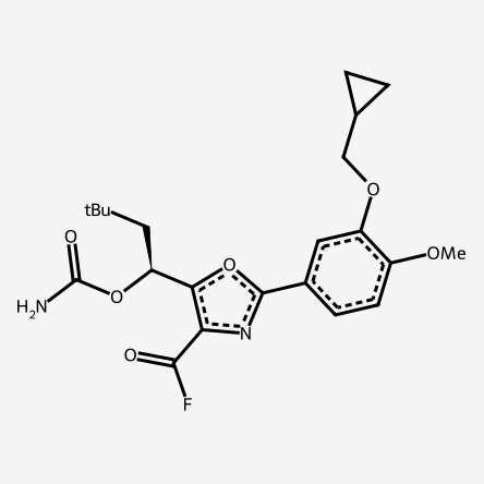 COc1ccc(-c2nc(C(=O)F)c([C@H](CC(C)(C)C)OC(N)=O)o2)cc1OCC1CC1